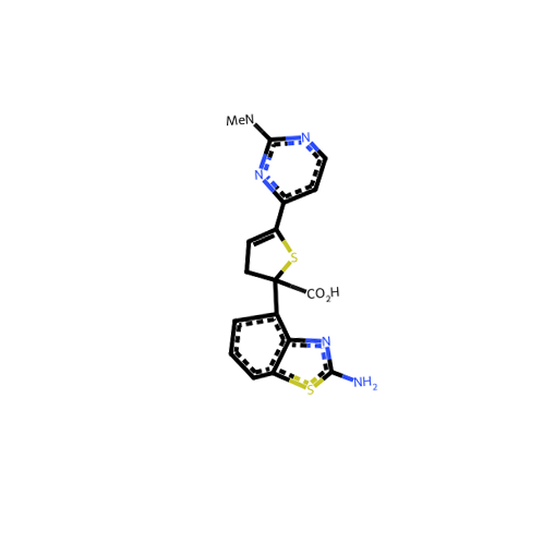 CNc1nccc(C2=CCC(C(=O)O)(c3cccc4sc(N)nc34)S2)n1